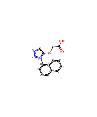 O=C(O)CSc1cnnn1-c1cccc2ccccc12